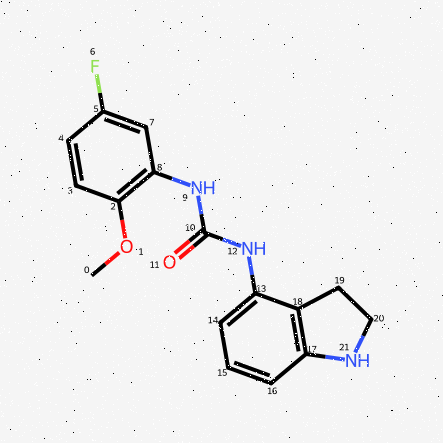 COc1ccc(F)cc1NC(=O)Nc1cccc2c1CCN2